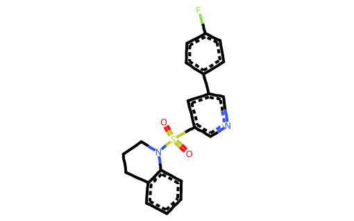 O=S(=O)(c1cncc(-c2ccc(F)cc2)c1)N1CCCc2ccccc21